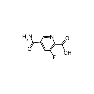 NC(=O)c1cnc(C(=O)O)c(F)c1